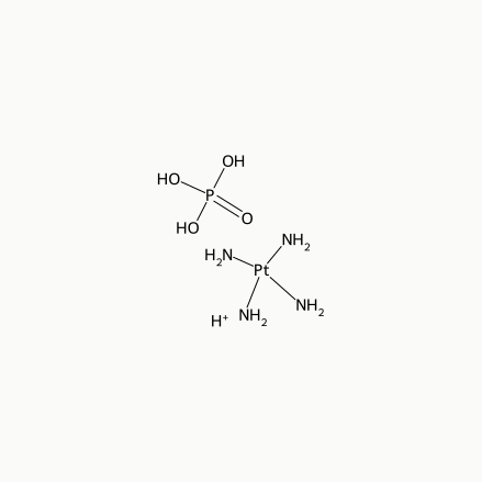 O=P(O)(O)O.[H+].[NH2][Pt]([NH2])([NH2])[NH2]